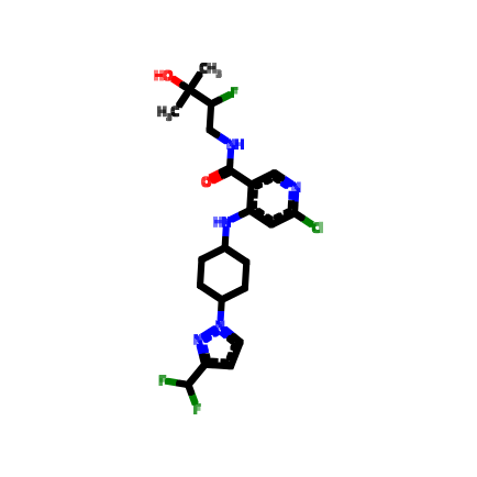 CC(C)(O)C(F)CNC(=O)c1cnc(Cl)cc1NC1CCC(n2ccc(C(F)F)n2)CC1